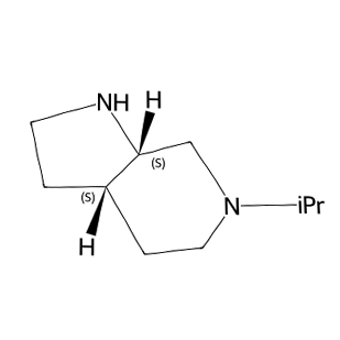 CC(C)N1CC[C@@H]2CCN[C@@H]2C1